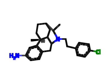 CC1C2CC[C@@]3(C)c4cc(N)ccc4CC(C3C2)N1CCc1ccc(Cl)cc1